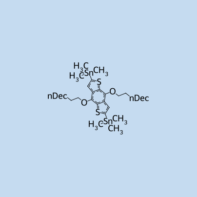 CCCCCCCCCCCCOc1c2c[c]([Sn]([CH3])([CH3])[CH3])sc2c(OCCCCCCCCCCCC)c2c[c]([Sn]([CH3])([CH3])[CH3])sc12